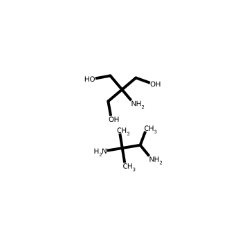 CC(N)C(C)(C)N.NC(CO)(CO)CO